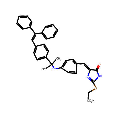 CCCC(C)(Nc1ccc(/C=C2\N=C(SCC(=O)O)NC2=O)cc1)c1ccc(C=C(c2ccccc2)c2ccccc2)cc1